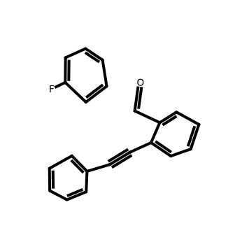 Fc1ccccc1.O=Cc1ccccc1C#Cc1ccccc1